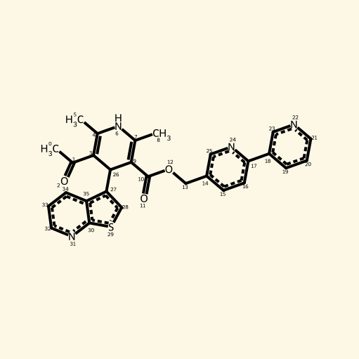 CC(=O)C1=C(C)NC(C)=C(C(=O)OCc2ccc(-c3cccnc3)nc2)C1c1csc2ncccc12